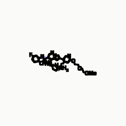 COCCOCCOc1cc(C)c(-c2cc3c(N[C@@H]4CC[C@H](N)C4)c(/C(N)=N/c4cc(F)ccc4Cl)cnn3c2)cn1